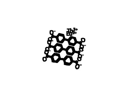 O=C([O-])c1ccc(-c2ccc(C(=O)[O-])cc2)cc1.O=C([O-])c1ccc(-c2ccc(C(=O)[O-])cc2)cc1.O=C([O-])c1ccc(-c2ccc(C(=O)[O-])cc2)cc1.[Eu+3].[Tb+3]